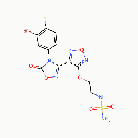 NS(=O)(=O)NCCOc1nonc1-c1noc(=O)n1-c1ccc(F)c(Br)c1